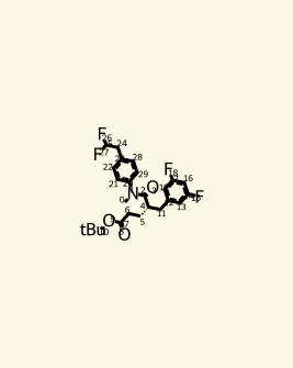 CN(C(=O)[C@@H](CCC(=O)OC(C)(C)C)Cc1cc(F)cc(F)c1)c1ccc(CC(F)F)cc1